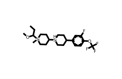 CCC(OC)[Si]1(C)CCC([SiH]2CCC(c3ccc(OC(F)(F)F)c(F)c3)CC2)CC1